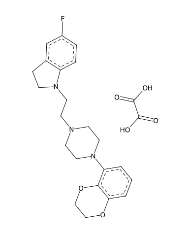 Fc1ccc2c(c1)CCN2CCN1CCN(c2cccc3c2OCCO3)CC1.O=C(O)C(=O)O